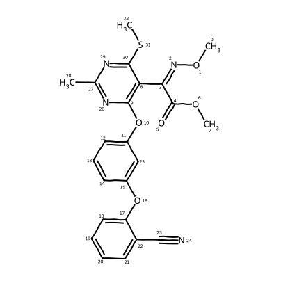 CON=C(C(=O)OC)c1c(Oc2cccc(Oc3ccccc3C#N)c2)nc(C)nc1SC